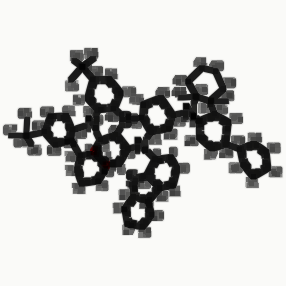 Cc1cc2c3c(c1)N(c1cccc4c1sc1ccccc14)c1cc(N4c5ccc(-c6ccccc6)cc5C5(C)CCCCC45C)ccc1B3c1ccc(C(C)(C)C)cc1N2c1ccc(C(C)(C)C)cc1-c1ccccc1